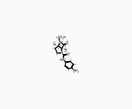 Nc1ccc(NC(=O)N2CC[C@@H]3[C@H]2C(=O)N3S(=O)(=O)O)cc1